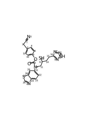 N#CCc1ccc(OC(=O)N(CC(S)CCc2nn[nH]n2)c2ccc3ncsc3c2)cc1